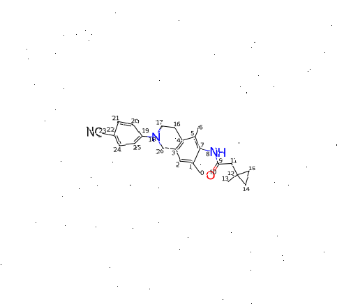 Cc1cc2c(c(C)c1NC(=O)CC1(C)CC1)CCN(c1ccc(C#N)cc1)C2